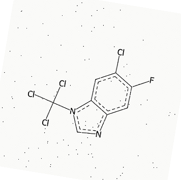 Fc1cc2ncn(C(Cl)(Cl)Cl)c2cc1Cl